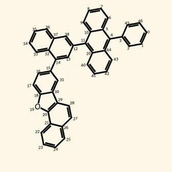 c1ccc(-c2c3ccccc3c(-c3cc(-c4ccc5oc6c7ccccc7ccc6c5c4)c4ccccc4c3)c3ccccc23)cc1